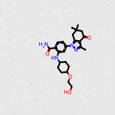 Cc1nn(-c2ccc(C(N)=O)c(NC3CCC(OCCO)CC3)c2)c2c1C(=O)CC(C)(C)C2